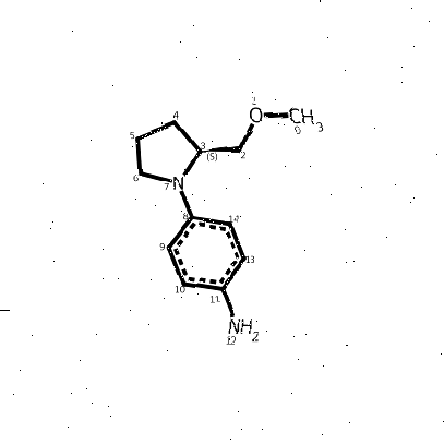 COC[C@@H]1CCCN1c1ccc(N)cc1